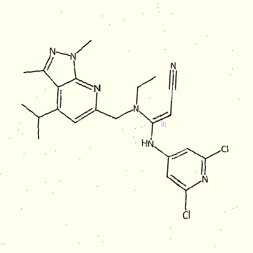 CCN(Cc1cc(C(C)C)c2c(C)nn(C)c2n1)/C(=C\C#N)Nc1cc(Cl)nc(Cl)c1